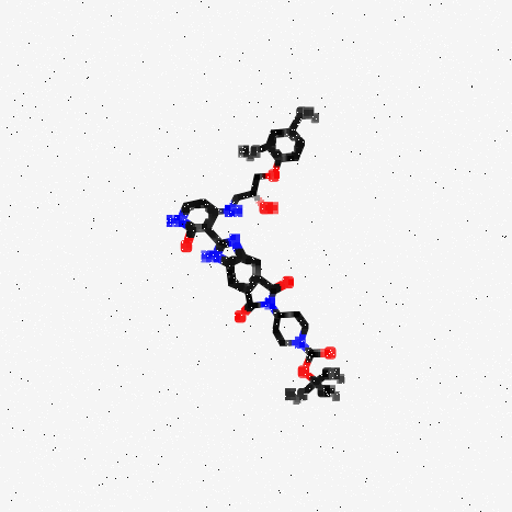 Cc1ccc(OC[C@H](O)CNc2cc[nH]c(=O)c2-c2nc3cc4c(cc3[nH]2)C(=O)N(C2CCN(C(=O)OC(C)(C)C)CC2)C4=O)c(C)c1